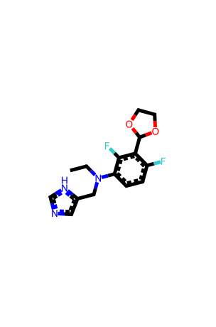 CCN(Cc1cnc[nH]1)c1ccc(F)c(C2OCCO2)c1F